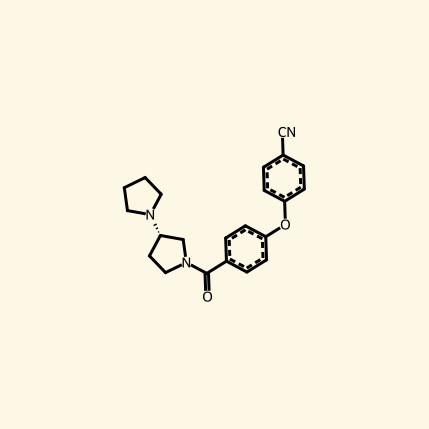 N#Cc1ccc(Oc2ccc(C(=O)N3CC[C@H](N4CCCC4)C3)cc2)cc1